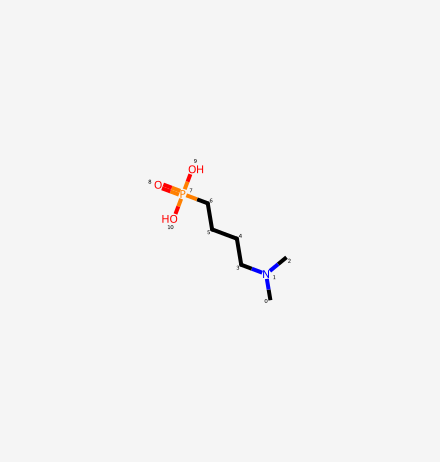 CN(C)CCCCP(=O)(O)O